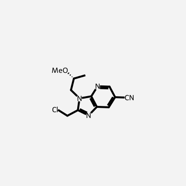 CO[C@H](C)Cn1c(CCl)nc2cc(C#N)cnc21